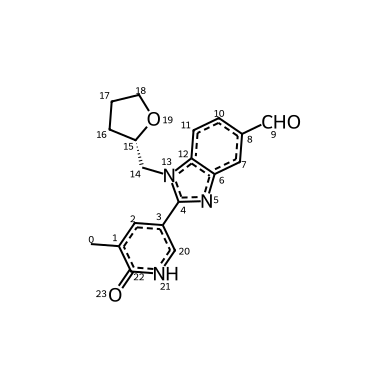 Cc1cc(-c2nc3cc(C=O)ccc3n2C[C@@H]2CCCO2)c[nH]c1=O